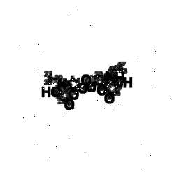 O=C(Oc1ccc2c3c1OC1C(=O)CC[C@@]4(O)C(C2)N(CC2CC2)CC[C@]314)Oc1ccc2c3c1OC1C(=O)CC[C@@]4(O)[C@@H](C2)N(CC2CC2)CC[C@]314